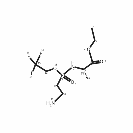 CCOC(=O)[C@H](C)NP(=O)(CCN)OCC(F)(F)F